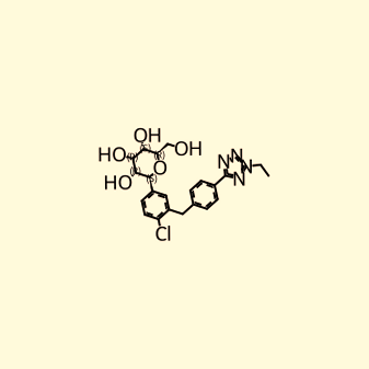 CCn1nnc(-c2ccc(Cc3cc([C@@H]4O[C@H](CO)[C@@H](O)[C@H](O)[C@H]4O)ccc3Cl)cc2)n1